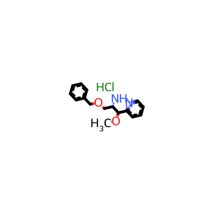 COC(c1ccccn1)[C@@H](N)COCc1ccccc1.Cl